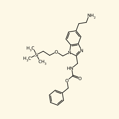 C[Si](C)(C)CCOCn1c(CNC(=O)OCc2ccccc2)nc2cc(CCN)ccc21